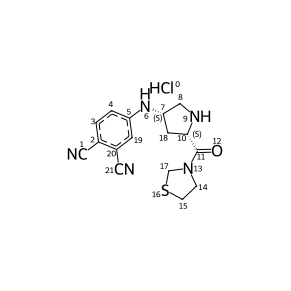 Cl.N#Cc1ccc(N[C@@H]2CN[C@H](C(=O)N3CCSC3)C2)cc1C#N